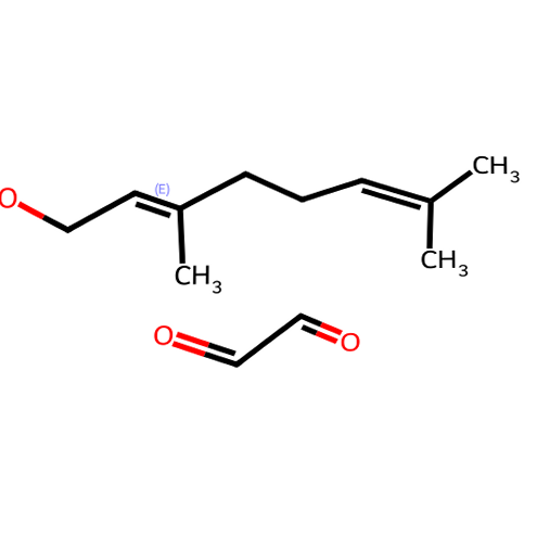 CC(C)=CCC/C(C)=C/CO.O=CC=O